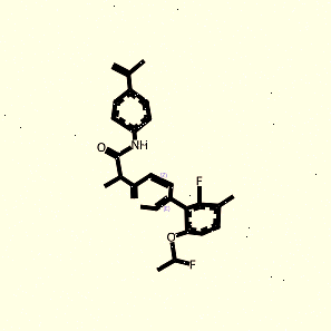 C=C(C)c1ccc(NC(=O)C(C)C(=C)/C=C\C(=C/C)c2c(OC(C)F)ccc(C)c2F)cc1